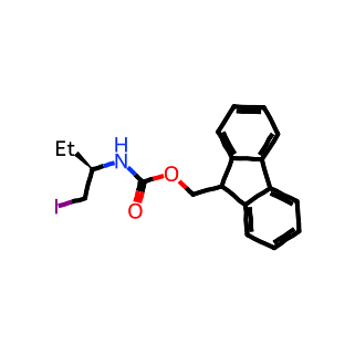 CC[C@H](CI)NC(=O)OCC1c2ccccc2-c2ccccc21